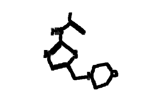 C=C(C)Nc1ncc(CN2CCOCC2)s1